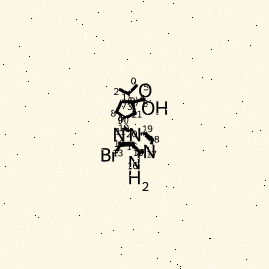 CC(C)[C@@]1(C(=O)O)CC[C@@H](c2nc(Br)c3c(N)nccn23)C1